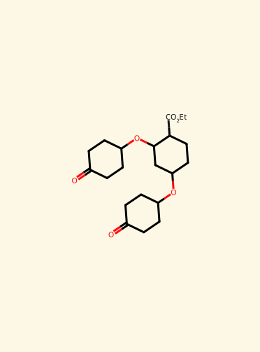 CCOC(=O)C1CCC(OC2CCC(=O)CC2)CC1OC1CCC(=O)CC1